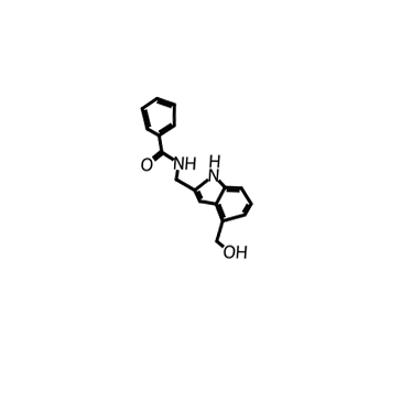 O=C(NCc1cc2c(CO)cccc2[nH]1)c1ccccc1